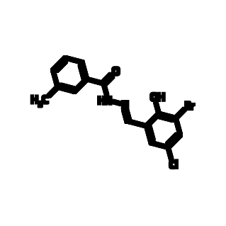 Cc1cccc(C(=O)N/N=C/c2cc(Cl)cc(Br)c2O)c1